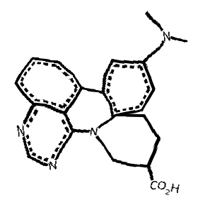 CN(C)c1cccc(-c2cccc3ncnc(N4CCCC(C(=O)O)C4)c23)c1